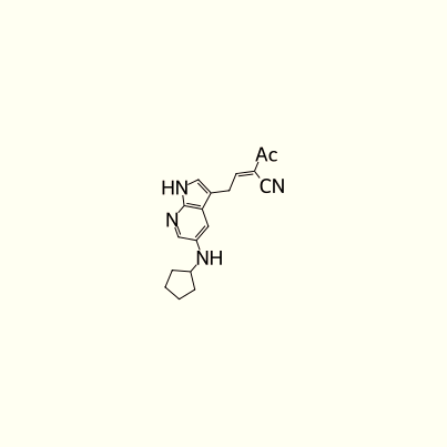 CC(=O)C(C#N)=CCc1c[nH]c2ncc(NC3CCCC3)cc12